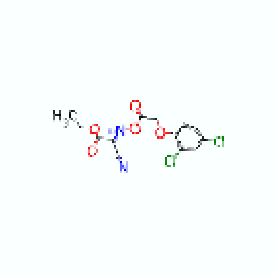 CCOC(=O)/C(C#N)=N/OC(=O)COc1ccc(Cl)cc1Cl